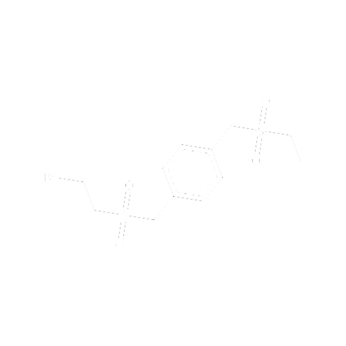 CCS(=O)(=O)Cc1ccc(CS(=O)(=O)CCBr)cc1